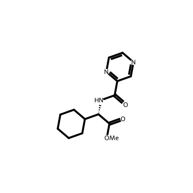 COC(=O)[C@@H](NC(=O)c1cnccn1)C1CCCCC1